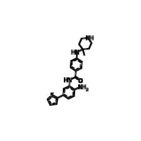 CC1(Nc2ccc(C(=O)Nc3cc(-c4cccs4)ccc3N)cc2)CCNCC1